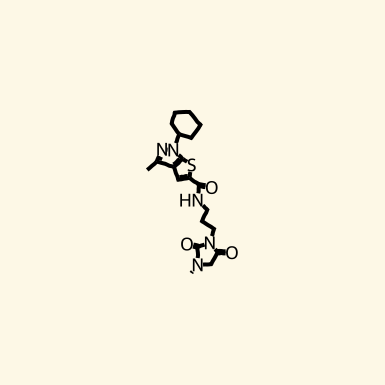 Cc1nn(C2CCCCC2)c2sc(C(=O)NCCCN3C(=O)CN(C)C3=O)cc12